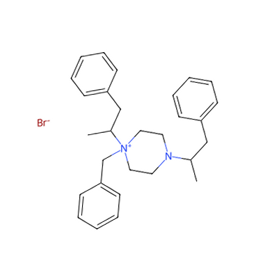 CC(Cc1ccccc1)N1CC[N+](Cc2ccccc2)(C(C)Cc2ccccc2)CC1.[Br-]